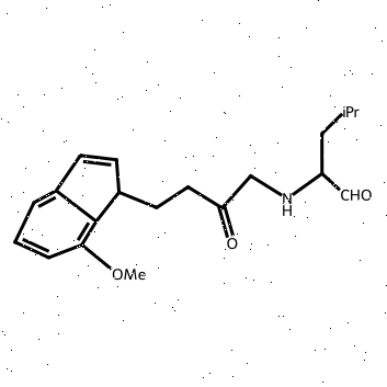 COc1cccc2c1C(CCC(=O)CNC(C=O)CC(C)C)C=C2